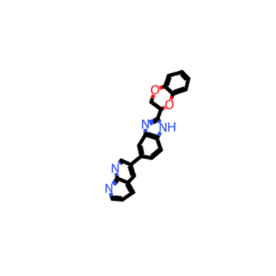 c1ccc2c(c1)OCC(c1nc3cc(-c4cnc5ncccc5c4)ccc3[nH]1)O2